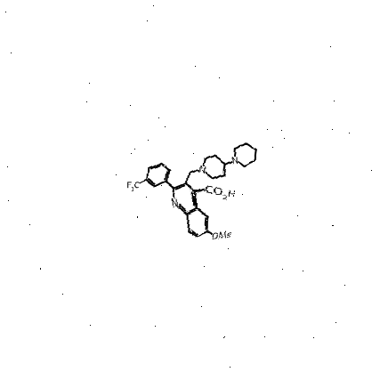 COc1ccc2nc(-c3cccc(C(F)(F)F)c3)c(CN3CCC(N4CCCCC4)CC3)c(C(=O)O)c2c1